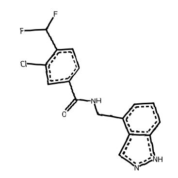 O=C(NCc1cccc2[nH]ncc12)c1ccc(C(F)F)c(Cl)c1